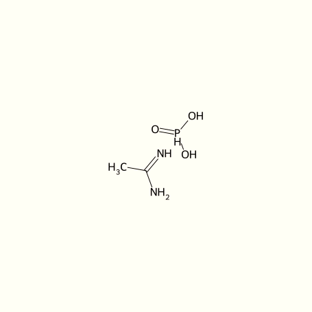 CC(=N)N.O=[PH](O)O